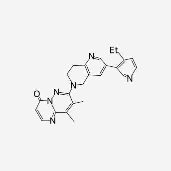 CCc1ccncc1-c1cnc2c(c1)CN(c1nn3c(=O)ccnc3c(C)c1C)CC2